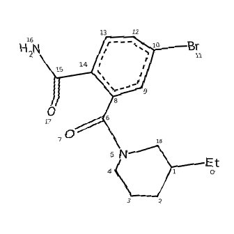 CCC1CCCN(C(=O)c2cc(Br)ccc2C(N)=O)C1